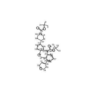 CC(C)(C)OC(=O)N1CCC(c2ccc3c(c2)N(C(=O)OC(C)(C)C)c2ncnc(C4=CCOCC4)c2CO3)CC1